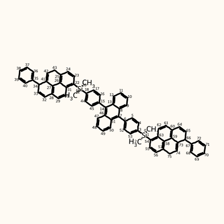 C[Si](C)(c1ccc(-c2c3ccccc3c(-c3ccc([Si](C)(C)c4ccc5c6c7c(ccc46)C=CC(c4ccccc4)C7=CC5)cc3)c3ccccc23)cc1)c1ccc2c3c4c(ccc13)C=CC(c1ccccc1)C4=CC2